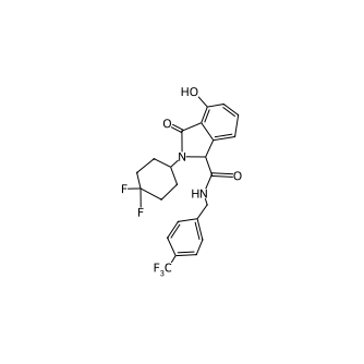 O=C(NCc1ccc(C(F)(F)F)cc1)C1c2cccc(O)c2C(=O)N1C1CCC(F)(F)CC1